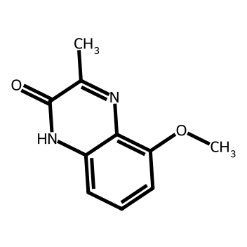 COc1cccc2[nH]c(=O)c(C)nc12